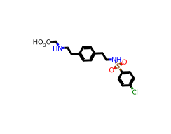 O=C(O)CNCCc1ccc(CCNS(=O)(=O)c2ccc(Cl)cc2)cc1